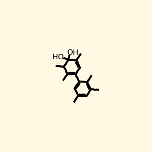 CC1=CC(c2cc(C)cc(C)c2C)=C(C)C(C)C1(O)O